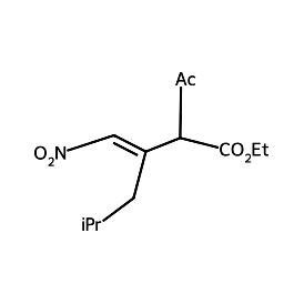 CCOC(=O)C(C(C)=O)C(=C[N+](=O)[O-])CC(C)C